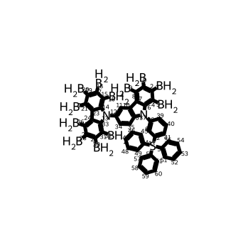 Bc1c(B)c(B)c2c(c1B)c1cc(-n3c4c(B)c(B)c(B)c(B)c4c4c(B)c(B)c(B)c(B)c43)ccc1n2-c1cccc(S(c2ccccc2)(c2ccccc2)c2ccccc2)c1